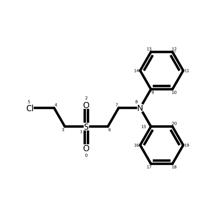 O=S(=O)(CCCl)CCN(c1cc[c]cc1)c1ccccc1